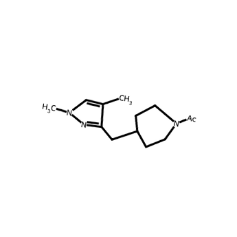 CC(=O)N1CCC(Cc2nn(C)cc2C)CC1